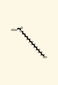 CCCCCCCCCCCC(=O)OCCCCCCCCCCCCCCCCCCCO